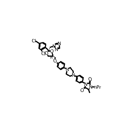 CCCN1C(=O)N(c2ccc(N3CCN(c4ccc(OC[C@@H]5CO[C@@](Cn6cncn6)(c6ccc(Cl)cc6Cl)O5)cc4)CC3)cc2)C(=O)C1C